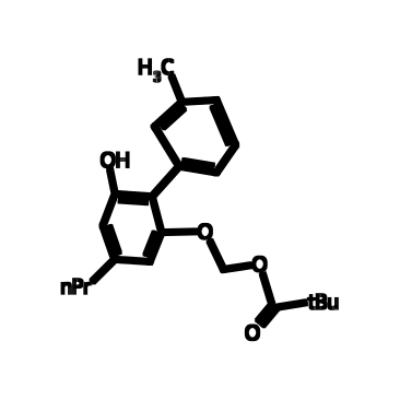 CCCc1cc(O)c(-c2cccc(C)c2)c(OCOC(=O)C(C)(C)C)c1